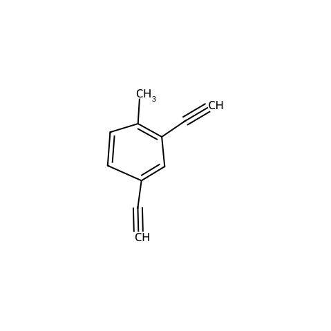 C#Cc1ccc(C)c(C#C)c1